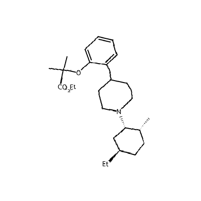 CCOC(=O)C(C)(C)Oc1ccccc1C1CCN([C@H]2C[C@H](CC)CC[C@H]2C)CC1